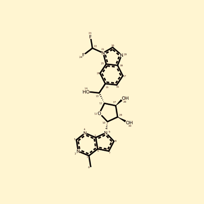 Cc1ncnc2c1ccn2[C@@H]1O[C@H](C(O)c2ccc3ncn(C(F)F)c3c2)[C@@H](O)[C@H]1O